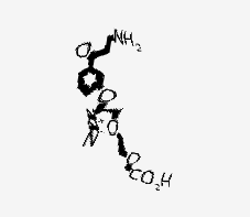 [N-]=[N+]=N[C@H](COCCOCC(=O)O)Oc1cccc(C(=O)CCN)c1